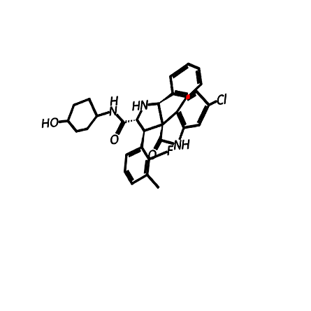 Cc1cccc([C@H]2[C@H](C(=O)NC3CCC(O)CC3)N[C@@H](c3ccccc3)[C@@]23C(=O)Nc2cc(Cl)ccc23)c1F